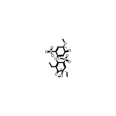 CCC1=C(OC2=CC(=O)[C@H](OC)C=C2S(=O)(=O)Cl)C(S(=O)(=O)Cl)=C[C@@](CC)(OC)C1=O